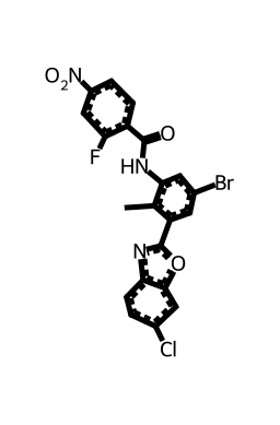 Cc1c(NC(=O)c2ccc([N+](=O)[O-])cc2F)cc(Br)cc1-c1nc2ccc(Cl)cc2o1